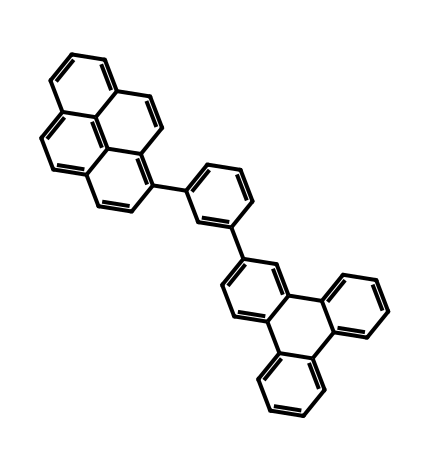 c1cc(-c2ccc3c4ccccc4c4ccccc4c3c2)cc(-c2ccc3ccc4cccc5ccc2c3c45)c1